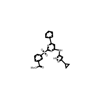 COC(=O)c1cccc(S(=O)(=O)c2nc(Nc3cc(C4CC4)n[nH]3)cc(-c3ccccc3)n2)c1